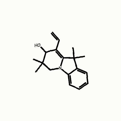 C=CC1=C2N(CC(C)(C)C1O)c1ccccc1C2(C)C